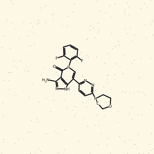 Nc1n[nH]c2c(-c3ccc(N4CCOCC4)nn3)cn(-c3c(F)cccc3F)c(=O)c12